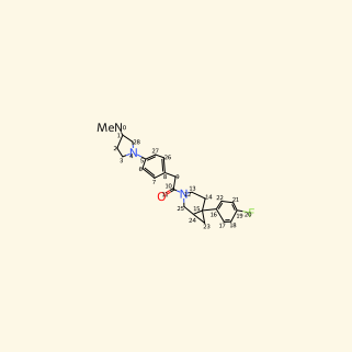 CNC1CCN(c2ccc(CC(=O)N3CCC4(c5ccc(F)cc5)CC4C3)cc2)C1